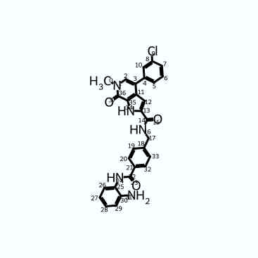 Cn1cc(-c2cccc(Cl)c2)c2cc(C(=O)NCc3ccc(C(=O)Nc4ccccc4N)cc3)[nH]c2c1=O